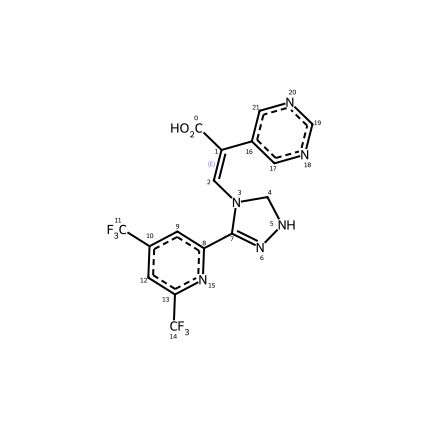 O=C(O)/C(=C/N1CNN=C1c1cc(C(F)(F)F)cc(C(F)(F)F)n1)c1cncnc1